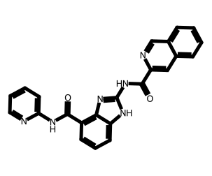 O=C(Nc1nc2c(C(=O)Nc3ccccn3)cccc2[nH]1)c1cc2ccccc2cn1